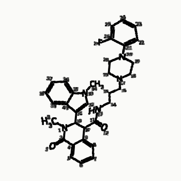 CN1C(=O)c2ccccc2C(C(=O)NCCCN2CCN(c3ccccc3F)CC2)C1c1cn(C)c2ccccc12